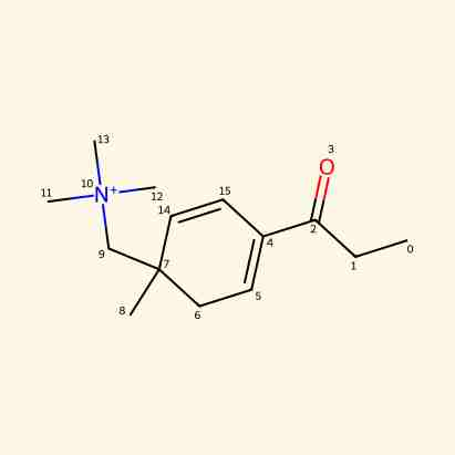 CCC(=O)C1=CCC(C)(C[N+](C)(C)C)C=C1